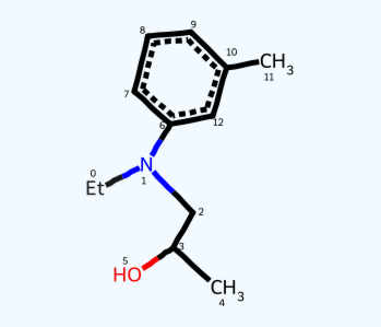 CCN(CC(C)O)c1cccc(C)c1